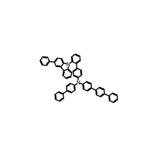 c1ccc(-c2ccc(-c3ccc(N(c4ccc(-c5ccccc5)cc4)c4ccc(-c5ccccc5-n5c6ccccc6c6cc(-c7ccccc7)ccc65)cc4)cc3)cc2)cc1